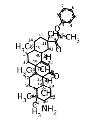 CN(Oc1ccccc1)C(=O)[C@@]1(C)CC[C@]2(C)CC[C@]3(C)C(=CC(=O)[C@@H]4[C@@]5(C)CC[C@H](N)C(C)(C)C5CC[C@]43C)[C@@H]2C1